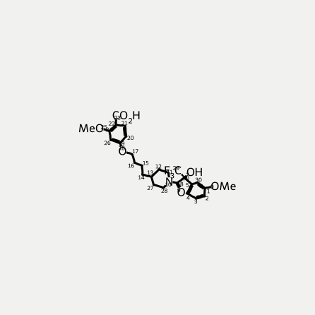 COc1cccc([C@@](O)(C(=O)N2CCC(CCCCOc3ccc(C(=O)O)c(OC)c3)CC2)C(F)(F)F)c1